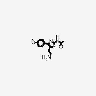 COc1ccc(-c2nc(NC(C)=O)sc2CCN)cc1